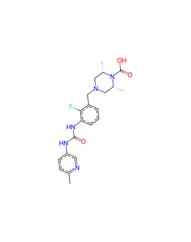 Cc1ccc(NC(=O)Nc2cccc(CN3C[C@@H](C)N(C(=O)O)[C@@H](C)C3)c2F)cn1